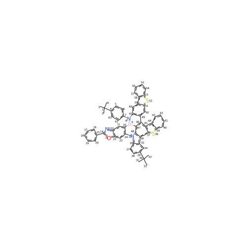 CC(C)(C)c1ccc(N2B3c4cc5nc(-c6ccccc6)oc5cc4-n4c5ccc(C(C)(C)C)cc5c5c6sc7ccccc7c6c(c3c54)-c3cc4sc5ccccc5c4cc32)cc1